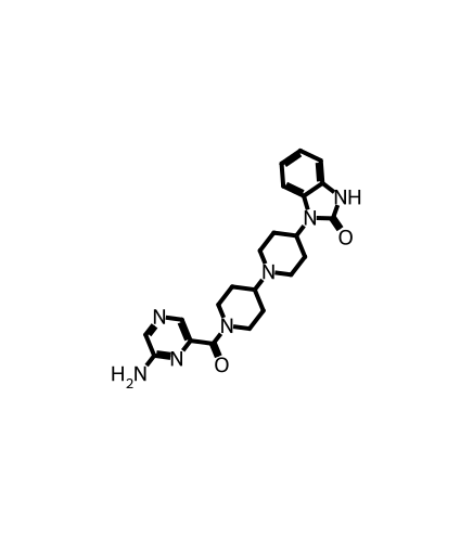 Nc1cncc(C(=O)N2CCC(N3CCC(n4c(=O)[nH]c5ccccc54)CC3)CC2)n1